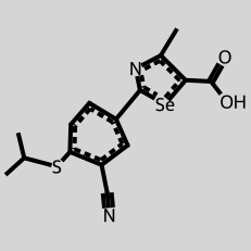 Cc1nc(-c2ccc(SC(C)C)c(C#N)c2)[se]c1C(=O)O